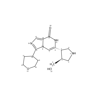 C[C@@H]1CNC[C@H]1c1cn2c(C3CCOCC3)ncc2c(=O)[nH]1.Cl